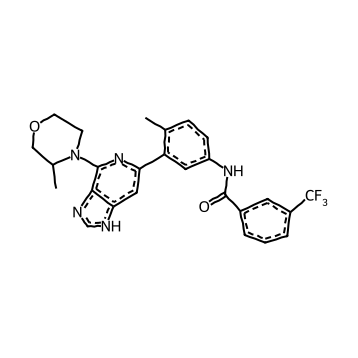 Cc1ccc(NC(=O)c2cccc(C(F)(F)F)c2)cc1-c1cc2[nH]cnc2c(N2CCOCC2C)n1